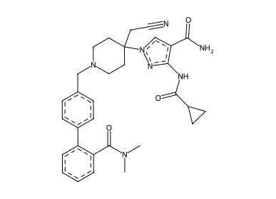 CN(C)C(=O)c1ccccc1-c1ccc(CN2CCC(CC#N)(n3cc(C(N)=O)c(NC(=O)C4CC4)n3)CC2)cc1